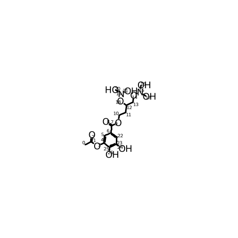 CC(=O)Oc1cc(C(=O)OCCC(CON(O)O)ON(O)O)cc(O)c1O